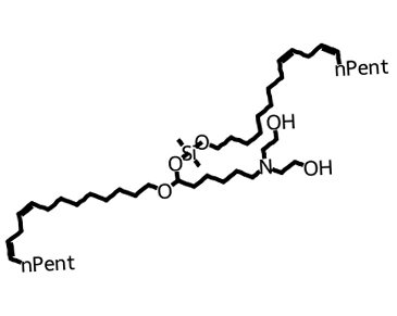 CCCCC/C=C\C/C=C\CCCCCCCCOC(CCCCCN(CCO)CCO)O[Si](C)(C)OCCCCCCCC/C=C\C/C=C\CCCCC